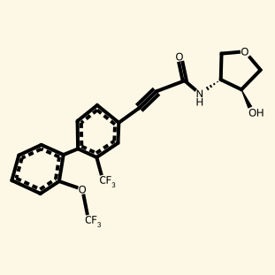 O=C(C#Cc1ccc(-c2ccccc2OC(F)(F)F)c(C(F)(F)F)c1)N[C@@H]1COC[C@H]1O